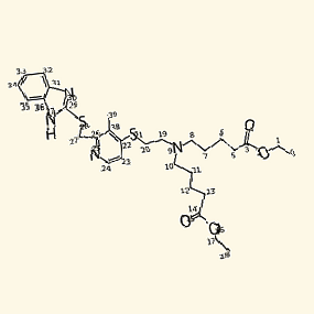 CCOC(=O)CCCCN(CCCCC(=O)OCC)CCSc1ccnc(CSc2nc3ccccc3[nH]2)c1C